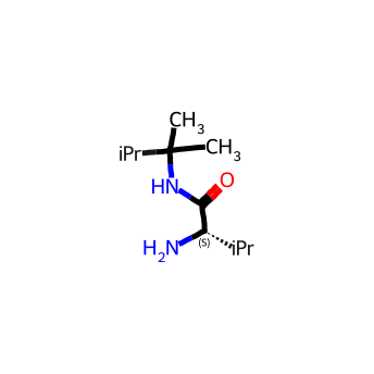 CC(C)[C@H](N)C(=O)NC(C)(C)C(C)C